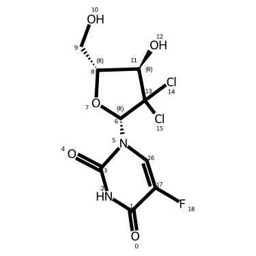 O=c1[nH]c(=O)n([C@@H]2O[C@H](CO)[C@@H](O)C2(Cl)Cl)cc1F